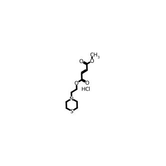 COC(=O)C=CC(=O)OCCN1CCSCC1.Cl